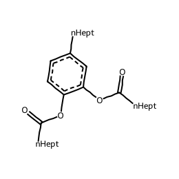 CCCCCCCC(=O)Oc1ccc(CCCCCCC)cc1OC(=O)CCCCCCC